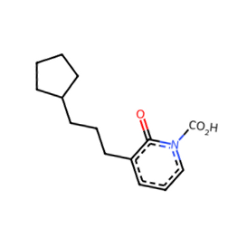 O=C(O)n1cccc(CCCC2CCCC2)c1=O